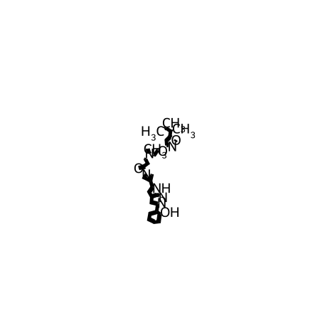 CC(C)[C@@H](C)c1cc(OCCN(C)CCC(=O)N2CC(c3cc4cc(-c5ccccc5O)nnc4[nH]3)C2)no1